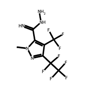 Cn1nc(C(F)(F)C(F)(F)F)c(C(F)(F)F)c1C(=N)NN